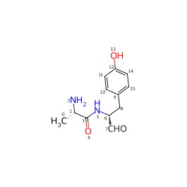 C[C@H](N)C(=O)N[C@H](C=O)Cc1ccc(O)cc1